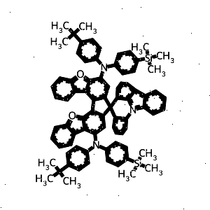 CC(C)(C)c1ccc(N(c2ccc([Si](C)(C)C)cc2)c2cc3c(c4c2oc2ccccc24)-c2c(cc(N(c4ccc(C(C)(C)C)cc4)c4ccc([Si](C)(C)C)cc4)c4c2oc2ccccc24)C32c3ccccc3-n3c4ccccc4c4cccc2c43)cc1